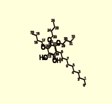 CCCCCCCCCCc1c(O)c(O)c(OCCCC)c(OCCCC)c1OCCCC